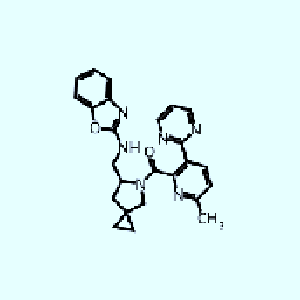 Cc1ccc(-c2ncccn2)c(C(=O)N2CC3(CC3)CC2CNc2nc3ccccc3o2)n1